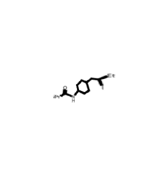 CCC(I)CC1CCC(NC(=O)C(C)C)CC1